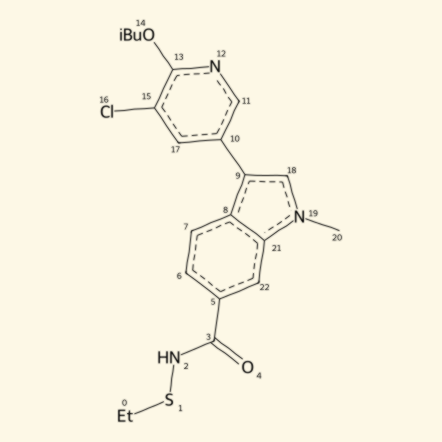 CCSNC(=O)c1ccc2c(-c3cnc(OCC(C)C)c(Cl)c3)cn(C)c2c1